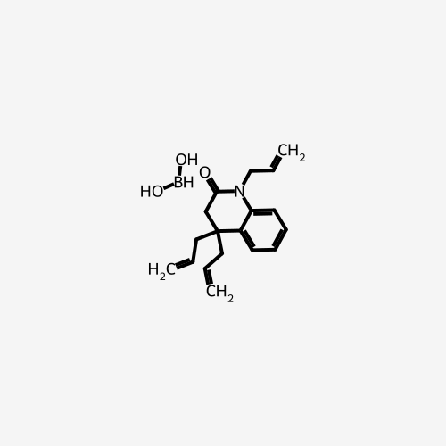 C=CCN1C(=O)CC(CC=C)(CC=C)c2ccccc21.OBO